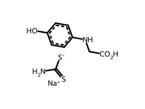 NC(=S)[S-].O=C(O)CNc1ccc(O)cc1.[Na+]